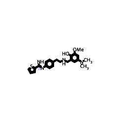 COc1cc(N(C)C)cc(CNCCc2ccc(/N=C(\N)c3cccs3)cc2)c1O